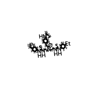 CCc1ccc(NC(=S)NCCN(CCNC(=S)Nc2ccc(CC(C)C)cc2)C(=O)Cc2ccc(NC(C)=S)cc2)cc1